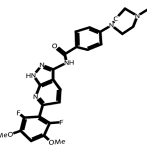 COc1cc(OC)c(F)c(-c2ccc3c(NC(=O)c4ccc(N5CCN(C)CC5)cc4)n[nH]c3n2)c1F